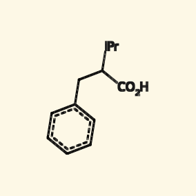 CC(C)C(Cc1ccccc1)C(=O)O